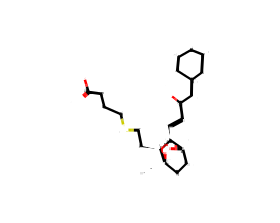 O=C(O)CCCSCC[C@H]1[C@@H](/C=C/C(O)CC2CCCCC2)[C@H]2CC[C@@H]1O2